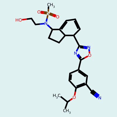 CC(C)Oc1ccc(-c2nc(C3C=CC=C4C3CCC4N(CCO)S(C)(=O)=O)no2)cc1C#N